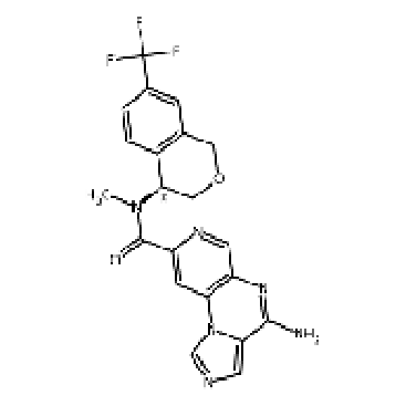 CN(C(=O)c1cc2c(cn1)nc(N)c1cncn12)[C@@H]1COCc2cc(C(F)(F)F)ccc21